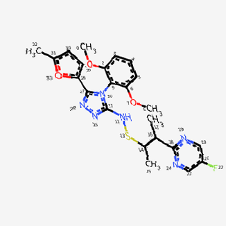 COc1cccc(OC)c1-n1c(NSC(C)C(C)c2ncc(F)cn2)nnc1-c1ccc(C)o1